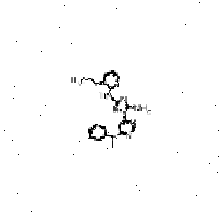 CCCc1ccccc1Nc1nc(N)n(-c2cc(Nc3ccccc3)ncn2)n1